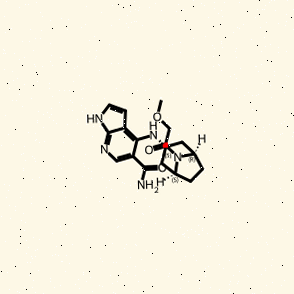 COCC(=O)N1[C@@H]2CC[C@H]1C[C@H](Nc1c(C(N)=O)cnc3[nH]ccc13)C2